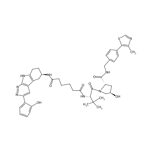 Cc1ncsc1-c1ccc(CNC(=O)[C@@H]2C[C@@H](O)CN2C(=O)[C@@H](NC(=O)CCCCC(=O)N[C@@H]2CCc3[nH]c4nnc(-c5ccccc5O)cc4c3C2)C(C)(C)C)cc1